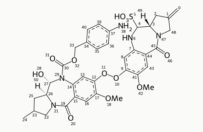 C=C1C[C@H]2C(S(=O)(=O)O)Nc3cc(OOc4cc5c(cc4OC)C(=O)N4CC(C)C[C@H]4[C@H](O)N5C(=O)OCc4ccc(N)cc4)c(OC)cc3C(=O)N2C1